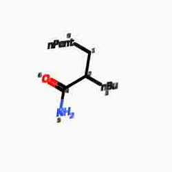 CCCCCCC(CCCC)C(N)=O